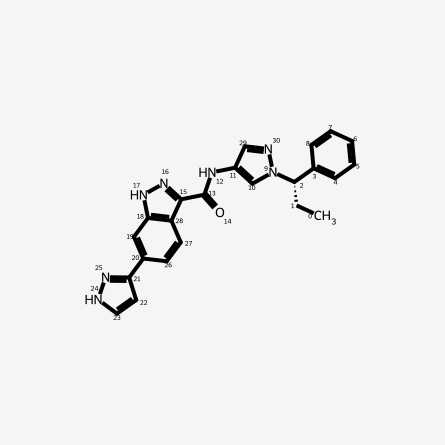 CC[C@@H](c1ccccc1)n1cc(NC(=O)c2n[nH]c3cc(-c4cc[nH]n4)ccc23)cn1